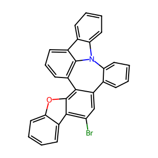 Brc1cc2c(c3oc4ccccc4c13)-c1cccc3c4ccccc4n(c13)-c1ccccc1-2